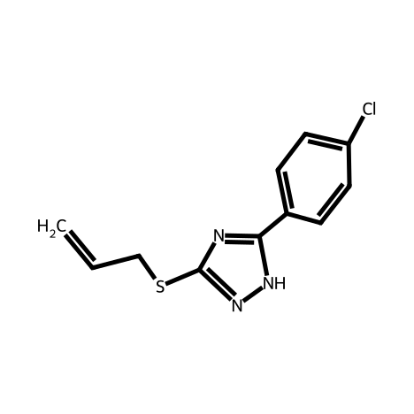 C=CCSc1n[nH]c(-c2ccc(Cl)cc2)n1